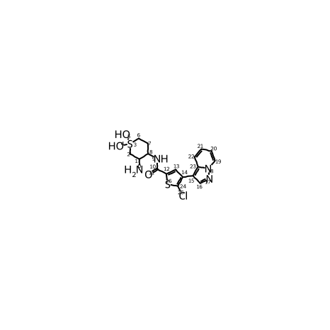 NC1CS(O)(O)CCC1NC(=O)c1cc(-c2cnn3ccccc23)c(Cl)s1